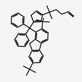 C=CCCC(C)(C)C1=CCC(C(c2ccccc2)(c2ccccc2)c2c(C(C)(C)C)ccc3c2Cc2cc(C(C)(C)C)ccc2-3)=C1